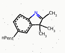 CCCCCc1ccc2c(c1)C(C)(C)C(C)=N2